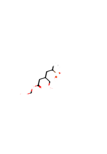 CC(CC(CO)CC(=O)OCO)[SH](=O)=O